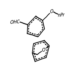 CCCOc1cccc(C=O)c1.c1cc2ccc1CO2